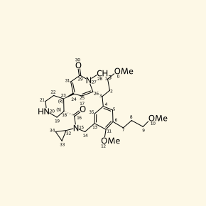 COCCCc1cc(CCCOC)c(OC)c(CN(C(=O)[C@@H]2CNCC[C@H]2c2ccn(C)c(=O)c2)C2CC2)c1